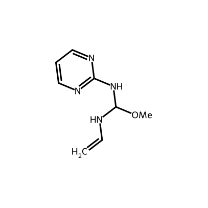 C=CNC(Nc1ncccn1)OC